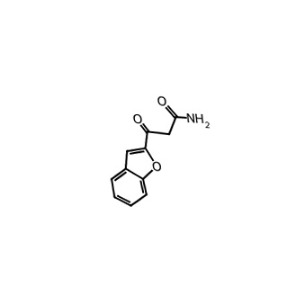 NC(=O)CC(=O)c1cc2ccccc2o1